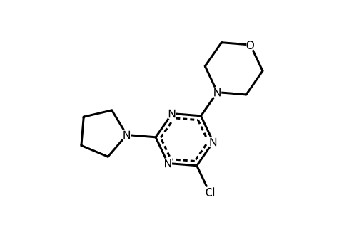 Clc1nc(N2CCCC2)nc(N2CCOCC2)n1